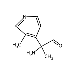 Cc1cnccc1C(C)(N)C=O